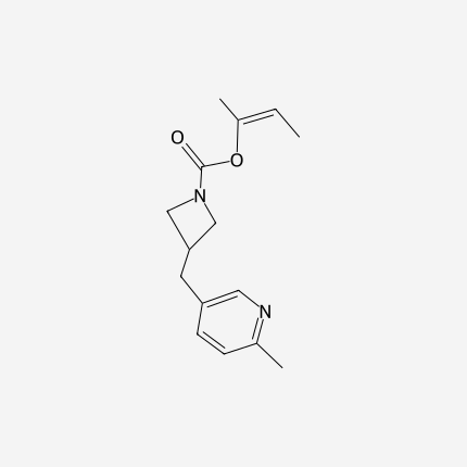 C/C=C(/C)OC(=O)N1CC(Cc2ccc(C)nc2)C1